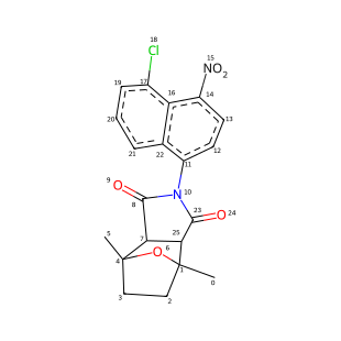 CC12CCC(C)(O1)C1C(=O)N(c3ccc([N+](=O)[O-])c4c(Cl)cccc34)C(=O)C12